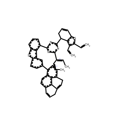 C=Cc1sc2c(c1C=C)C(c1nc(C(/C=C\C)=C/C)nc(-c3cccc4sc5ccc(-c6ccc7c8c9c(ccc68)C=CCC9=CC7)cc5c34)n1)CC=C2